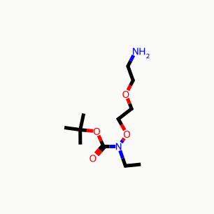 CCN(OCCOCCN)C(=O)OC(C)(C)C